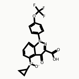 O=C(O)c1nn(-c2ccc(OC(F)(F)F)cc2)c2cccc([S+]([O-])C3CC3)c2c1=O